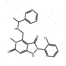 CC(NCc1c2c(=O)n(-c3ccccc3Cl)[nH]c2cc(=O)n1C)c1cccnc1